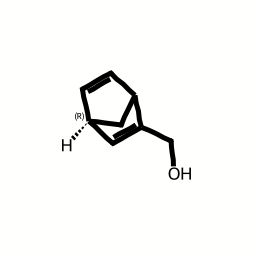 OCC1=C[C@H]2C=CC1C2